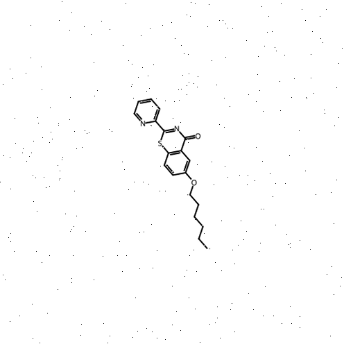 [CH2]CCCC[CH]Oc1ccc2sc(-c3ccccn3)nc(=O)c2c1